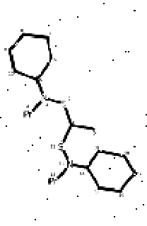 CC(SN(C(C)C)C1CCCCC1)SN(C(C)C)C1CCCCC1